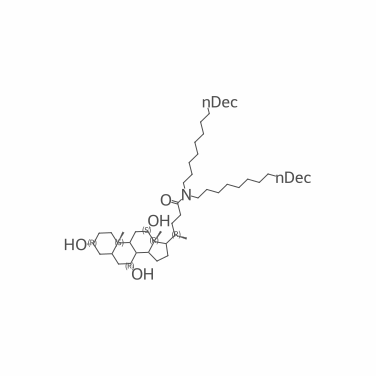 CCCCCCCCCCCCCCCCCCN(CCCCCCCCCCCCCCCCCC)C(=O)CC[C@@H](C)C1CCC2C3C(C[C@H](O)[C@@]21C)[C@@]1(C)CC[C@@H](O)CC1C[C@H]3O